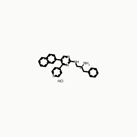 Cl.N[C@H](CNc1ncc(-c2ccc3ccccc3c2)c(-c2ccncc2)n1)Cc1ccccc1